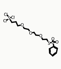 O=S(=O)(SCCOCCOCCOCCCS(Cl)(Cl)Cl)c1ccccc1